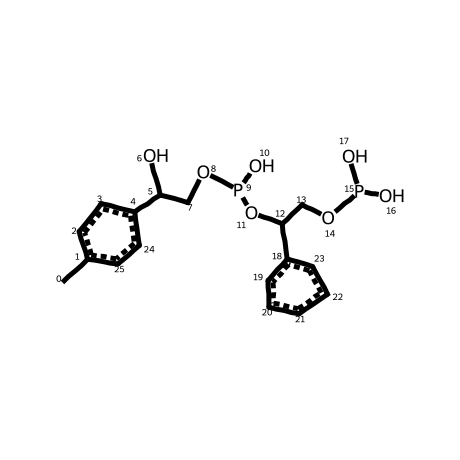 Cc1ccc(C(O)COP(O)OC(COP(O)O)c2ccccc2)cc1